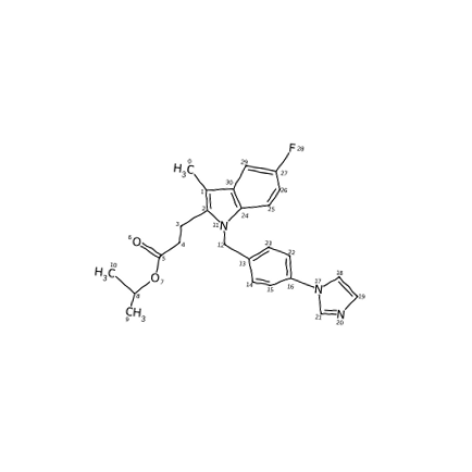 Cc1c(CCC(=O)OC(C)C)n(Cc2ccc(-n3ccnc3)cc2)c2ccc(F)cc12